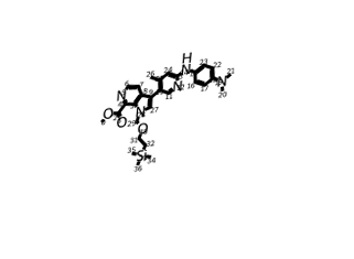 COC(=O)c1nccc2c(-c3cnc(Nc4ccc(N(C)C)cc4)cc3C)cn(COCC[Si](C)(C)C)c12